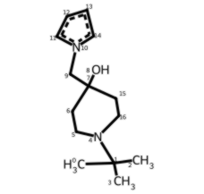 CC(C)(C)N1CCC(O)(Cn2cccc2)CC1